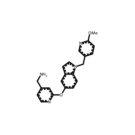 COc1ccc(Cn2ccc3cc(Oc4cc(CN)ccn4)ccc32)cn1